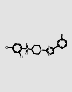 Cc1cccc(-c2csc(N3CCC(S(=O)(=O)c4ccc(Cl)cc4Cl)CC3)n2)c1